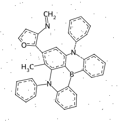 C=Nc1ccoc1-c1cc2c3c(c1C)N(c1ccccc1)c1ccccc1B3c1ccccc1N2c1ccccc1